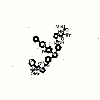 COC(=O)N[C@H](C(=O)N1CCC[C@H]1c1nc2cc([C@H]3CC[C@H](c4ccc5[nH]c([C@@H]6CCCN6C(=O)[C@@H](NC(=O)OC)C6CCOCC6)nc5c4)N3c3cc(F)c(N4CCC(c5ccccc5)CC4)c(F)c3)ccc2[nH]1)C(C)C